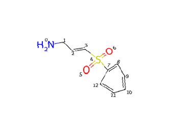 NC/C=C/S(=O)(=O)c1ccccc1